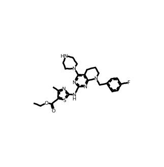 CCOC(=O)c1sc(Nc2nc(N3CCNCC3)c3c(n2)N(Cc2ccc(F)cc2)CCC3)nc1C